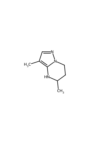 Cc1cnn2c1NC(C)CC2